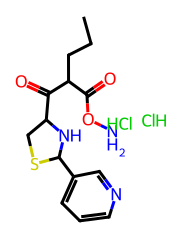 CCCC(C(=O)ON)C(=O)C1CSC(c2cccnc2)N1.Cl.Cl